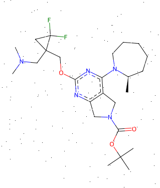 C[C@@H]1CCCCCN1c1nc(OCC2(CN(C)C)CC2(F)F)nc2c1CN(C(=O)OC(C)(C)C)C2